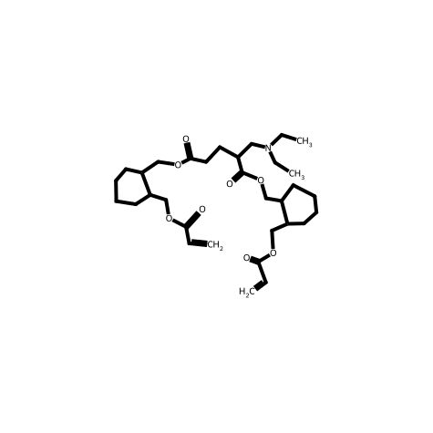 C=CC(=O)OCC1CCCCC1COC(=O)CCC(CN(CC)CC)C(=O)OCC1CCCCC1COC(=O)C=C